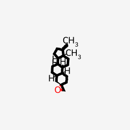 CC=C1CC[C@H]2[C@@H]3CC[C@@H]4C[C@@]5(CC[C@@H]4[C@H]3CC[C@]12C)CO5